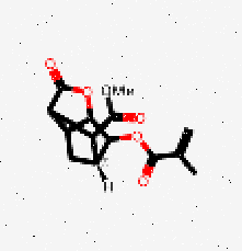 C=C(C)C(=O)OC1C2OC(=O)C3C2C[C@@H]1C3C(=O)OC